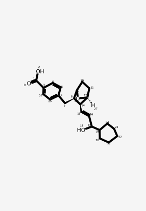 O=C(O)c1ccc(C[C@H]2C3CC[C@H](O3)[C@H]2/C=C/C(O)C2CCCCC2)cc1